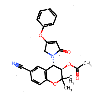 CC(=O)O[C@@H]1[C@@H](N2CC(Oc3ccccc3)=CC2=O)c2cc(C#N)ccc2OC1(C)C